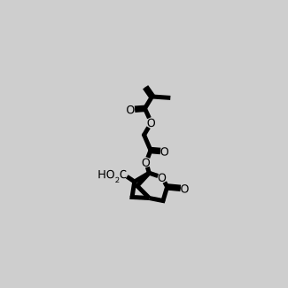 C=C(C)C(=O)OCC(=O)OC12CC(CC(=O)O1)CC2C(=O)O